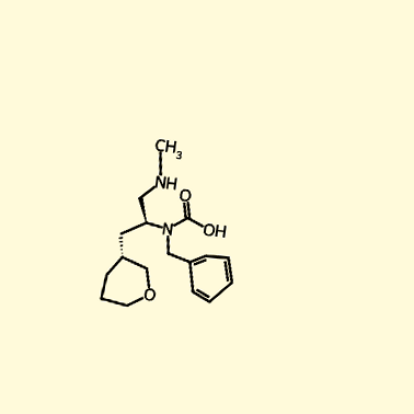 CNC[C@H](C[C@H]1CCCOC1)N(Cc1ccccc1)C(=O)O